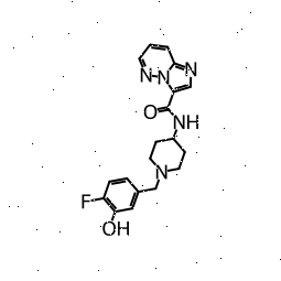 O=C(NC1CCN(Cc2ccc(F)c(O)c2)CC1)c1cnc2cccnn12